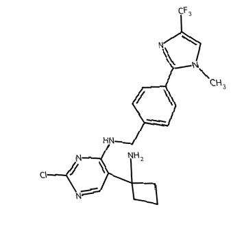 Cn1cc(C(F)(F)F)nc1-c1ccc(CNc2nc(Cl)ncc2C2(N)CCC2)cc1